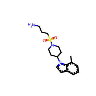 Cc1cccc2ccn(C3CCN(S(=O)(=O)CCCN)CC3)c12